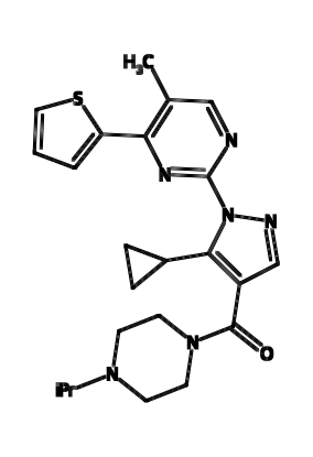 Cc1cnc(-n2ncc(C(=O)N3CCN(C(C)C)CC3)c2C2CC2)nc1-c1cccs1